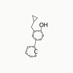 Oc1ccc(-c2ccccc2)cc1CC1CC1